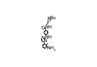 CCCCOCCCNC(=O)c1ccc(Nc2nccc(-c3cccc(N)c3C)n2)cc1